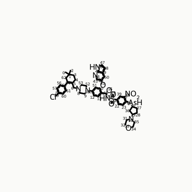 CC1(C)CCC(CN2CCN(c3ccc(C(=O)NS(=O)(=O)c4ccc([AsH][C@H]5CC[C@@H](N6CCOCC6)C5)c([N+](=O)[O-])c4)c(Oc4cnc5[nH]ccc5c4)c3)CC2)=C(c2ccc(Cl)cc2)C1